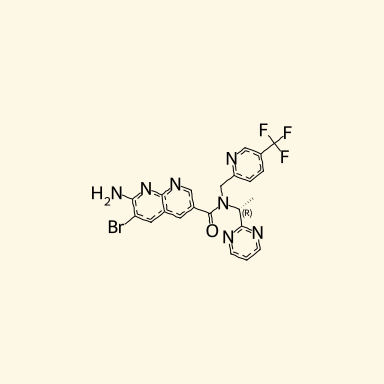 C[C@H](c1ncccn1)N(Cc1ccc(C(F)(F)F)cn1)C(=O)c1cnc2nc(N)c(Br)cc2c1